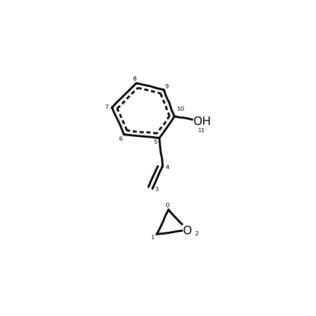 C1CO1.C=Cc1ccccc1O